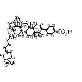 CC(C)[C@@H]1CC[C@]2(CNCCCN3CCS(=O)(=O)CC3)CC[C@]3(C)[C@H](CC[C@@H]4[C@@]5(C)CC=C(c6ccc(C(=O)O)cc6)C(C)(C)[C@@H]5CC[C@]43C)[C@@H]12